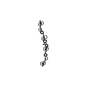 C=CC(=O)OCCCOc1ccc(C=CC(=O)Oc2ccc3c(c2)C(C)c2cc(OC(=O)C=Cc4ccc(OCCCOC(=O)C=C)cc4)ccc2-3)cc1